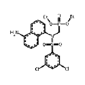 CCOP(=O)(CN(c1cccc2c(N)cccc12)S(=O)(=O)c1cc(Cl)cc(Cl)c1)OCC